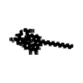 CC[C@H](C)[C@H](NC(=O)[C@@]1(NC(=O)C(Cc2ccc(OCCOCCOCCOCCOC)cc2)NC(=O)O)CCc2[nH]c3c(Cl)cc(Cl)cc3c2C1)C(N)=O